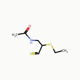 CCSC([C]=S)CNC(C)=O